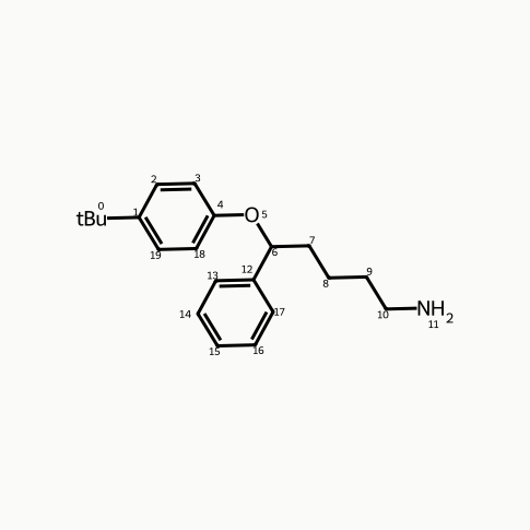 CC(C)(C)c1ccc(OC(CCCCN)c2ccccc2)cc1